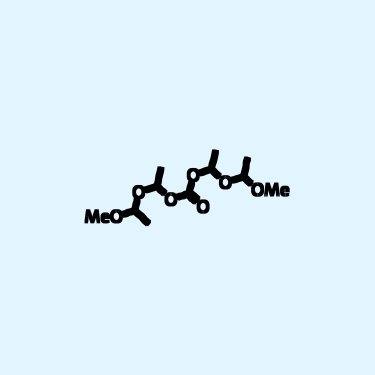 COC(C)OC(C)OC(=O)OC(C)OC(C)OC